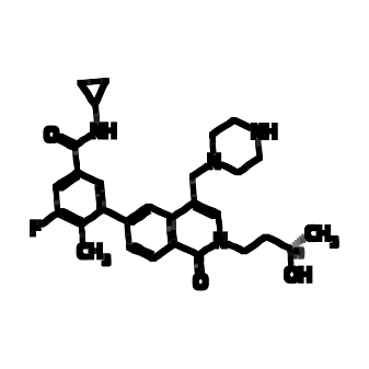 Cc1c(F)cc(C(=O)NC2CC2)cc1-c1ccc2c(=O)n(CC[C@H](C)O)cc(CN3CCNCC3)c2c1